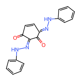 O=c1cc/c(=N\Nc2ccccc2)c(=O)c1=NNc1ccccc1